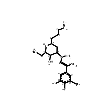 N/C(=C\N(N)C1CC(CCCOF)OC(CO)C1O)c1cc(F)c(F)c(F)c1